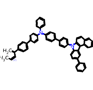 C=C(/C=C\C)c1ccc(-c2ccc(N(c3ccccc3)c3ccc(-c4ccc(-n5c6ccc(-c7ccccc7)cc6c6c7ccccc7ccc65)cc4)cc3)cc2)cc1